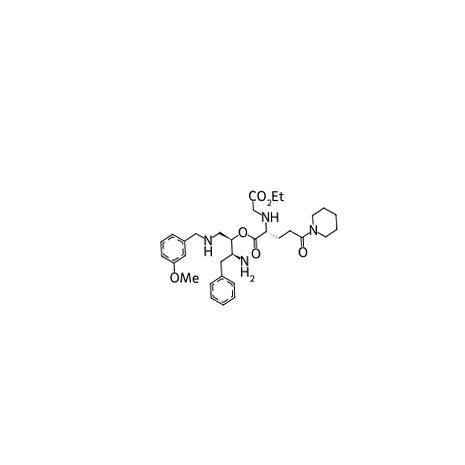 CCOC(=O)CN[C@H](CCC(=O)N1CCCCC1)C(=O)O[C@H](CNCc1cccc(OC)c1)[C@@H](N)Cc1ccccc1